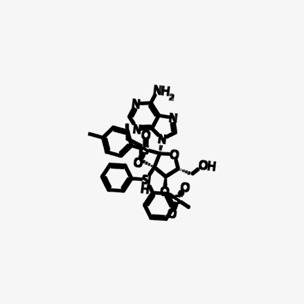 CCCC[C@@]1([SiH](c2ccccc2)c2ccccc2)[C@H](OS(C)(=O)=O)[C@@H](CO)O[C@]1(n1cnc2c(N)ncnc21)S(=O)(=O)c1ccc(C)cc1